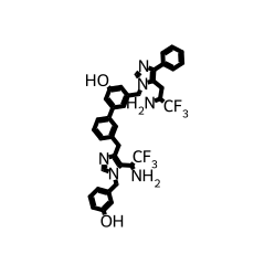 NC(Cc1c(-c2ccccc2)ncn1Cc1cc(O)cc(-c2cccc(Cc3ncn(Cc4cccc(O)c4)c3C(N)C(F)(F)F)c2)c1)C(F)(F)F